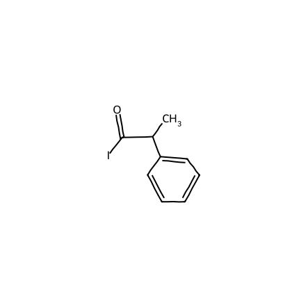 CC(C(=O)I)c1ccccc1